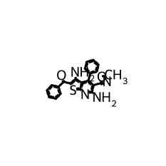 COc1ccccc1-c1c(C#N)c(N)nc2sc(C(=O)c3ccccc3)c(N)c12